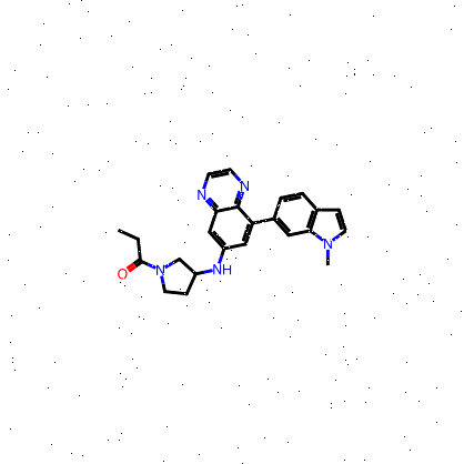 CCC(=O)N1CCC(Nc2cc(-c3ccc4ccn(C)c4c3)c3nccnc3c2)C1